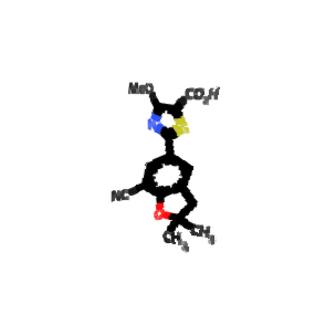 COc1nc(-c2cc(C#N)c3c(c2)CC(C)(C)O3)sc1C(=O)O